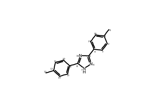 Cc1ccc(-c2n[nH]c(-c3ccc(C)cc3)n2)cc1